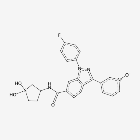 O=C(NC1CCS(O)(O)C1)c1ccc2c(-c3ccc[n+]([O-])c3)nn(-c3ccc(F)cc3)c2c1